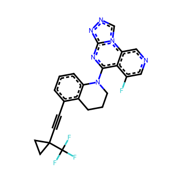 Fc1cncc2c1c(N1CCCc3c(C#CC4(C(F)(F)F)CC4)cccc31)nc1nncn12